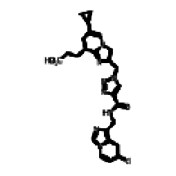 O=C(O)CCc1cc(C2CC2)cn2cc(Cn3cc(C(=O)NCc4ncn5ccc(Cl)cc45)nn3)nc12